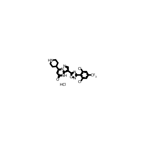 Cl.O=c1cc(C2CCNCC2)n2ncc(-c3nc(-c4c(Cl)cc(C(F)(F)F)cc4Cl)no3)c2[nH]1